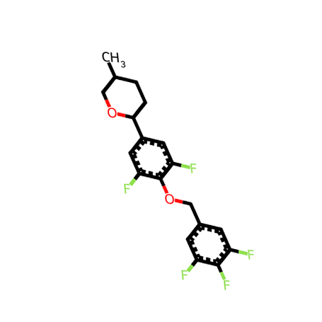 CC1CCC(c2cc(F)c(OCc3cc(F)c(F)c(F)c3)c(F)c2)OC1